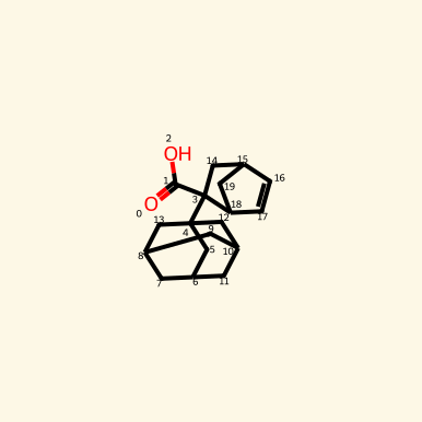 O=C(O)C1(C23CC4CC(CC(C4)C2)C3)CC2C=CC1C2